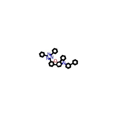 C1=CC2c3cccc(-c4nc(-c5ccccc5)nc(-c5ccccc5)n4)c3OC2c2c1n(-c1cccc(-c3ccccc3)c1)c1ccccc21